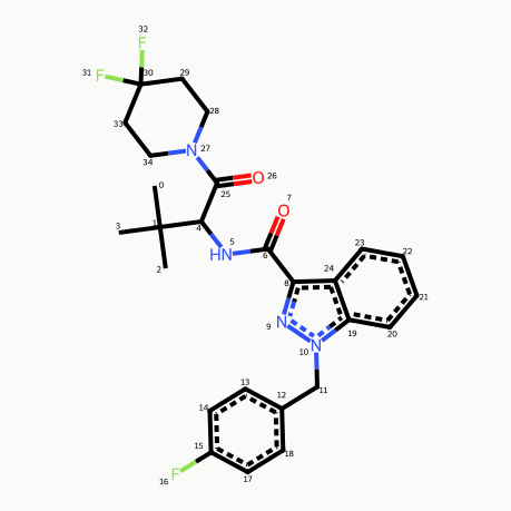 CC(C)(C)C(NC(=O)c1nn(Cc2ccc(F)cc2)c2ccccc12)C(=O)N1CCC(F)(F)CC1